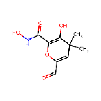 CC1(C)C=C(C=O)OC(C(=O)NO)=C1O